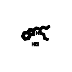 CCCNC(CCC)Cc1cc2ccccc2s1.Cl